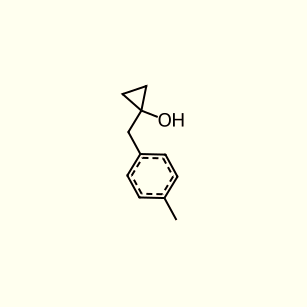 Cc1ccc(CC2(O)CC2)cc1